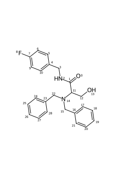 O=C(NCc1ccc(F)cc1)C(CO)N(Cc1ccccc1)Cc1ccccc1